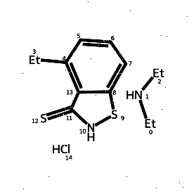 CCNCC.CCc1cccc2s[nH]c(=S)c12.Cl